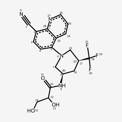 N#Cc1ccc(N2C[C@H](NC(=O)C(O)CO)C[C@H](C(F)(F)F)C2)c2cccnc12